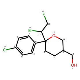 OCC1CCC(c2ccc(Cl)cc2)(C(Br)CF)OC1